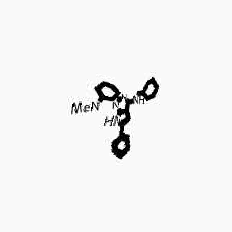 CNC1CCCCC1.c1ccc(-c2cc3c(NCC4CCCCC4)ncnc3[nH]2)cc1